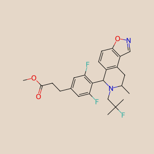 COC(=O)CCc1cc(F)c(C2c3ccc4oncc4c3CC(C)N2CC(C)(C)F)c(F)c1